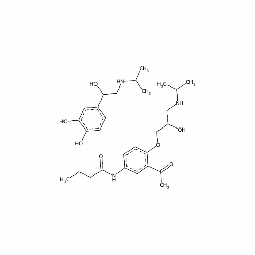 CC(C)NCC(O)c1ccc(O)c(O)c1.CCCC(=O)Nc1ccc(OCC(O)CNC(C)C)c(C(C)=O)c1